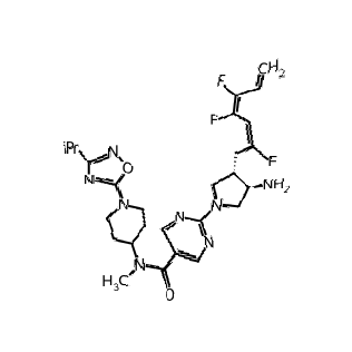 C=C/C(F)=C(F)\C=C(\F)C[C@H]1CN(c2ncc(C(=O)N(C)C3CCN(c4nc(C(C)C)no4)CC3)cn2)C[C@@H]1N